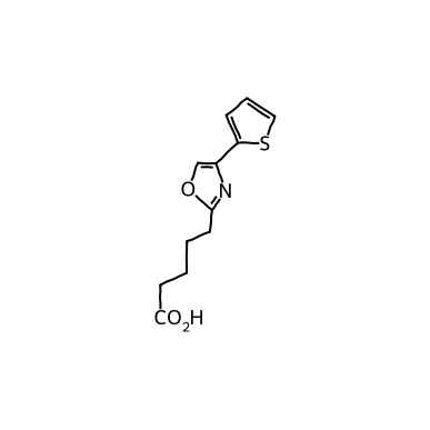 O=C(O)CCCCc1nc(-c2cccs2)co1